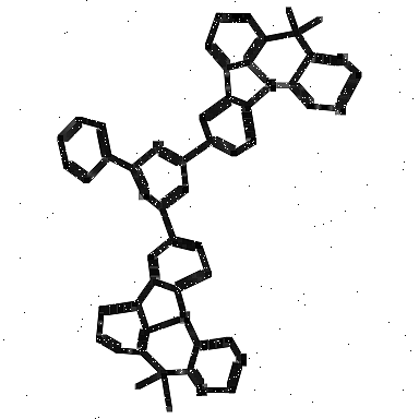 CC1(C)c2ncncc2-n2c3ccc(-c4cc(-c5ccc6c(c5)c5cccc7c5n6-c5cncnc5C7(C)C)nc(-c5ccccc5)n4)cc3c3cccc1c32